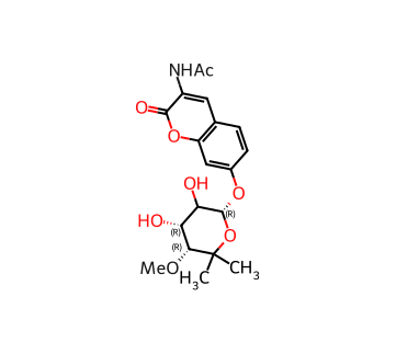 CO[C@@H]1[C@H](O)C(O)[C@H](Oc2ccc3cc(NC(C)=O)c(=O)oc3c2)OC1(C)C